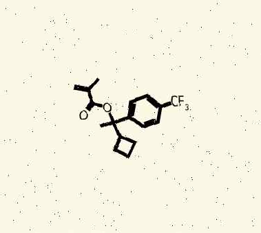 C=C(C)C(=O)OC(C)(c1ccc(C(F)(F)F)cc1)C1CCC1